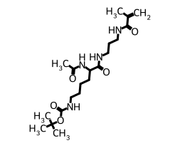 C=C(C)C(=O)NCCCNC(=O)C(CCCCNC(=O)OC(C)(C)C)NC(C)=O